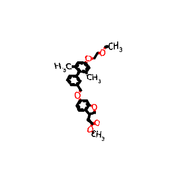 CCOCCOc1cc(C)c(-c2cccc(COc3ccc4c(c3)OCC4CC(=O)OC)c2)c(C)c1